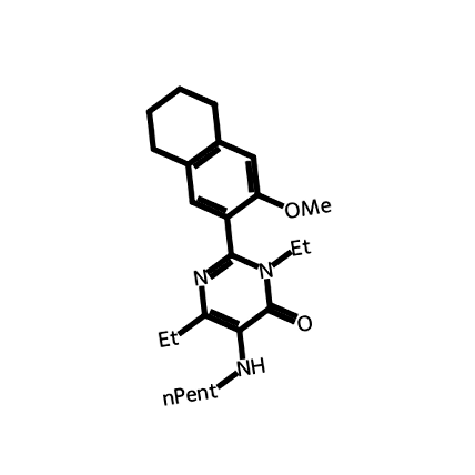 CCCCCNc1c(CC)nc(-c2cc3c(cc2OC)CCCC3)n(CC)c1=O